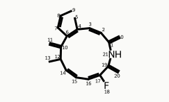 C=C1\C=C/C(C)=C(/C=C\C)C(=C)C(C)/C=C\C=C(\F)C(=C)N1